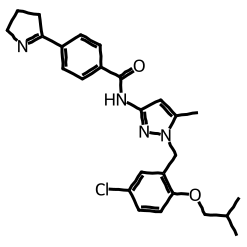 Cc1cc(NC(=O)c2ccc(C3=NCCC3)cc2)nn1Cc1cc(Cl)ccc1OCC(C)C